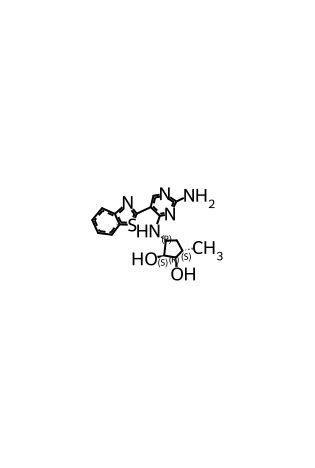 C[C@H]1C[C@@H](Nc2nc(N)ncc2-c2nc3ccccc3s2)[C@H](O)[C@@H]1O